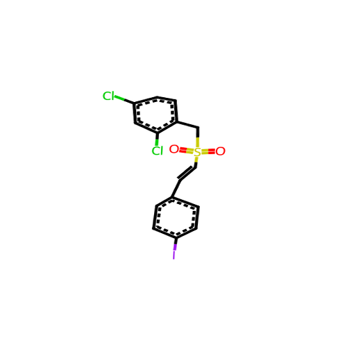 O=S(=O)(C=Cc1ccc(I)cc1)Cc1ccc(Cl)cc1Cl